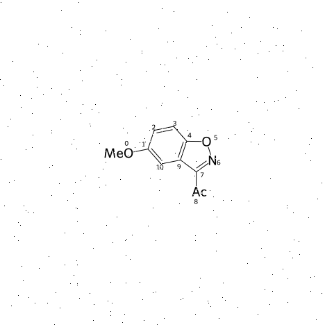 COc1ccc2onc(C(C)=O)c2c1